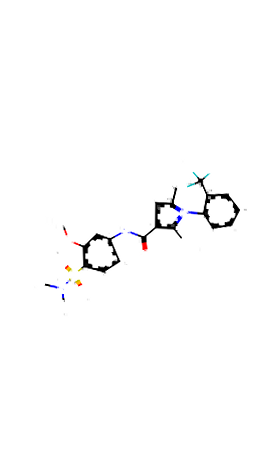 COc1cc(NC(=O)c2cc(C)n(-c3ccccc3C(F)(F)F)c2C)ccc1S(=O)(=O)N(C)C